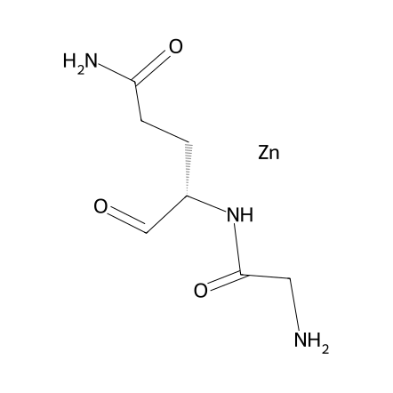 NCC(=O)N[C@H](C=O)CCC(N)=O.[Zn]